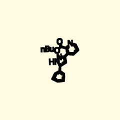 CCCCOC(=O)c1ncccc1-c1cc(-c2ccccc2)[nH]n1